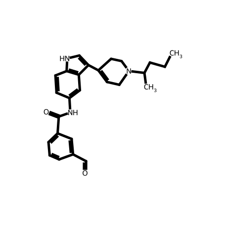 CCCC(C)N1CC=C(c2c[nH]c3ccc(NC(=O)c4cccc(C=O)c4)cc23)CC1